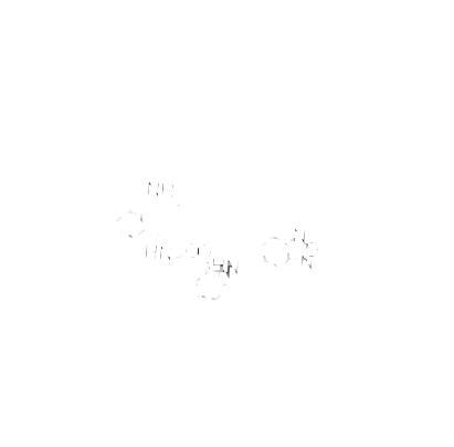 Cc1ccc(CN)c(CNC(=O)Cc2c(C)ccn(NCc3ccc4nonc4c3)c2=O)c1